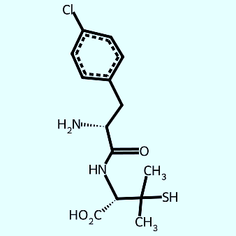 CC(C)(S)[C@@H](NC(=O)[C@H](N)Cc1ccc(Cl)cc1)C(=O)O